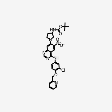 CC(C)(C)OC(=O)NC1CCN(c2cc3ncnc(Nc4ccc(OCc5ccccn5)c(Cl)c4)c3cc2[N+](=O)[O-])C1